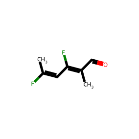 C/C(C=O)=C(F)\C=C(/C)F